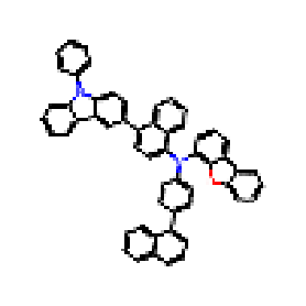 c1ccc(-n2c3ccccc3c3cc(-c4ccc(N(c5ccc(-c6cccc7ccccc67)cc5)c5cccc6c5oc5ccccc56)c5ccccc45)ccc32)cc1